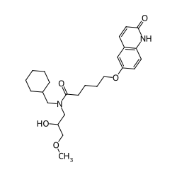 COCC(O)CN(CC1CCCCC1)C(=O)CCCCOc1ccc2[nH]c(=O)ccc2c1